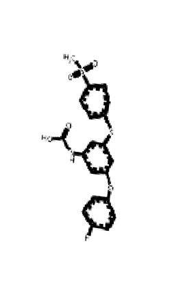 CS(=O)(=O)c1ccc(Sc2cc(NC(=O)O)cc(Oc3ccc(F)cc3)c2)cc1